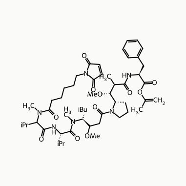 C=C(C)OC(=O)[C@H](Cc1ccccc1)NC(=O)C(C)[C@@H](OC)[C@@H]1CCCN1C(=O)CC(OC)[C@H]([C@@H](C)CC)N(C)C(=O)[C@@H](NC(=O)C(C(C)C)N(C)C(=O)CCCCCN1C(=O)C=CC1=O)C(C)C